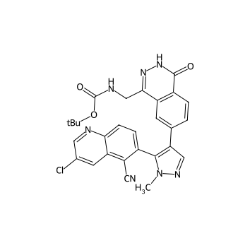 Cn1ncc(-c2ccc3c(=O)[nH]nc(CNC(=O)OC(C)(C)C)c3c2)c1-c1ccc2ncc(Cl)cc2c1C#N